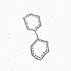 c1ccc(-[n+]2cccnc2)nc1